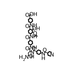 CC(C)Oc1c(NC(=O)c2ccc(NC(=O)C(CC(N)=O)NC(=O)c3ccc(NC(=O)c4ccncc4)cc3)cc2)ccc(C(=O)Nc2ccc(C(=O)O)cc2)c1O